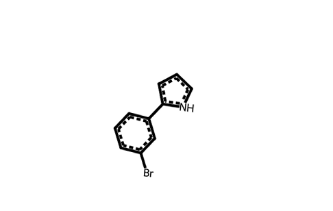 Brc1cccc(-c2ccc[nH]2)c1